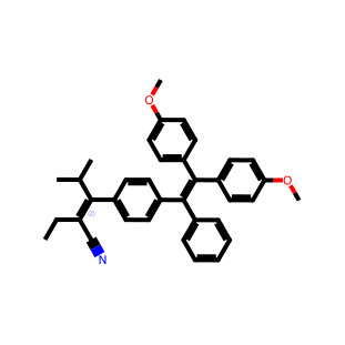 CC/C(C#N)=C(/c1ccc(C(=C(c2ccc(OC)cc2)c2ccc(OC)cc2)c2ccccc2)cc1)C(C)C